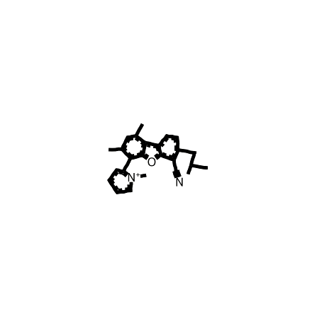 Cc1cc(C)c2c(oc3c(C#N)c(CC(C)C)ccc32)c1-c1cccc[n+]1C